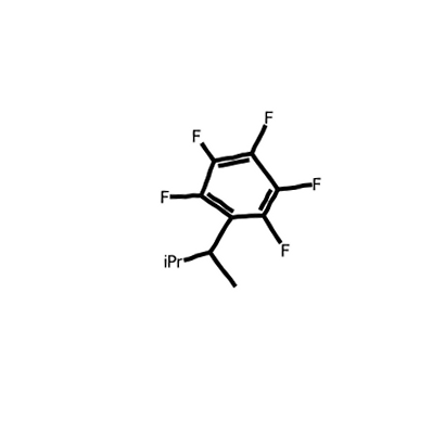 CC(C)C(C)c1c(F)c(F)c(F)c(F)c1F